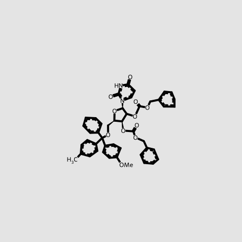 COc1ccc(C(OC[C@H]2O[C@@H](n3ccc(=O)[nH]c3=O)C(OC(=O)OCc3ccccc3)[C@H]2OC(=O)OCc2ccccc2)(c2ccccc2)c2ccc(C)cc2)cc1